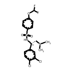 CN(C)C[C@@H](NS(=O)(=O)c1ccc(OC(F)F)cc1)c1ccc(Cl)c(Cl)c1